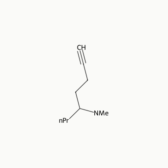 C#CCCC(CC[CH2])NC